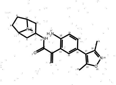 C=C(C(=O)NC1CC2CCC(C1)N2C)c1cc(-c2c(C)noc2C)ccc1N